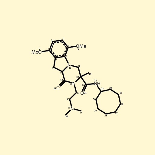 COc1ccc(OC)c2c1CC1C(=O)N(CCN(C)C)C(C)(C(=O)NC3CCCCCCC3)CN21